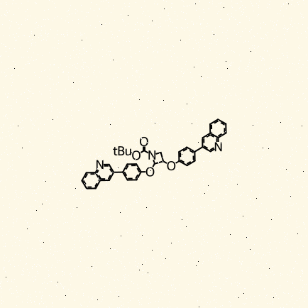 CC(C)(C)OC(=O)N1CC(Oc2ccc(-c3cnc4ccccc4c3)cc2)C1Oc1ccc(-c2cnc3ccccc3c2)cc1